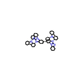 c1ccc(-n2c3ccccc3c3cccc(-n4c5ccc(-c6ccc7c(c6)n6c8ccccc8nc6n7-c6cccc7c8ccccc8n(-c8ccccc8)c67)cc5n5c6ccccc6nc45)c32)cc1